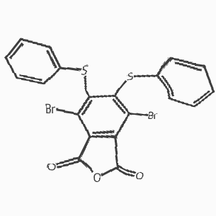 O=C1OC(=O)c2c(Br)c(Sc3ccccc3)c(Sc3ccccc3)c(Br)c21